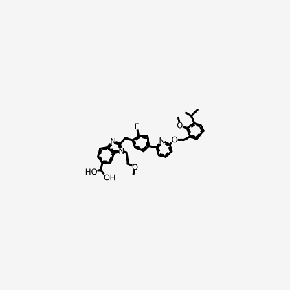 COCCn1c(Cc2ccc(-c3cccc(OCc4cccc(C(C)C)c4OC)n3)cc2F)nc2ccc(C(O)O)cc21